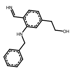 N=Cc1ccc(CCO)cc1NCc1ccccc1